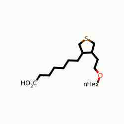 CCCCCCOCCC1CSCC1CCCCCCC(=O)O